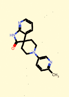 Cc1ccc(N2CCC3(CC2)C(=O)Nc2ncccc23)cn1